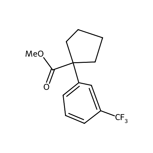 COC(=O)C1(c2cccc(C(F)(F)F)c2)CCCC1